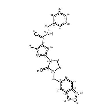 Cc1nc(N2CCN(Cc3ccc4nonc4c3)C2=O)sc1C(=O)NCc1cccnc1